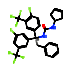 O=C(NC1CC=CC1)N[C@@](Cc1ccccc1)(c1cc(F)cc(C(F)(F)F)c1)c1ccc(F)c(C(F)(F)F)c1